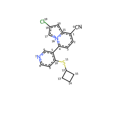 N#Cc1ccc(-c2cnccc2SC2CCC2)n2cc(Cl)cc12